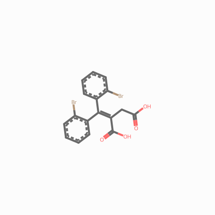 O=C(O)CC(C(=O)O)=C(c1ccccc1Br)c1ccccc1Br